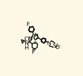 N#CC1(NC(=O)C2C[C@@H](F)CC[C@H]2c2nn(-c3ccc(F)cc3)cc2-c2ccc(N3CC[S+]([O-])CC3)cc2)CC1